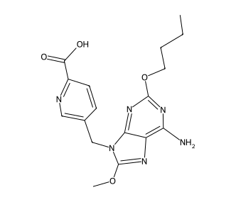 CCCCOc1nc(N)c2nc(OC)n(Cc3ccc(C(=O)O)nc3)c2n1